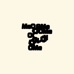 COc1ccc2c(C(=O)c3cc(OC)c(OC)c(OC)c3)cn(Cc3ccncc3)c2c1